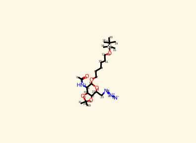 CC(=O)NC1C(OCCCCCCO[Si](C)(C)C(C)(C)C)OC(CN=[N+]=[N-])C2OC(C)(C)OC12